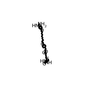 N=C(N)c1ccc(OCCCCCCCCCCOc2ccc(CCOC(=O)CCCCC3SCC4NC(=O)NC43)cc2)cc1